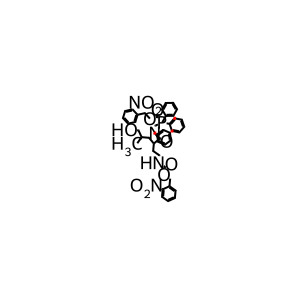 CC(CO)C1C(CCNC(=O)OCc2ccccc2[N+](=O)[O-])C(=O)N1CP(C(=O)OCc1ccccc1[N+](=O)[O-])(c1ccccc1)(c1ccccc1)c1ccccc1